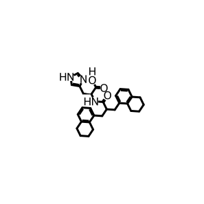 O=C(N[C@@H](Cc1c[nH]cn1)C(=O)O)C(Cc1cccc2c1CCCC2)Cc1cccc2c1CCCC2